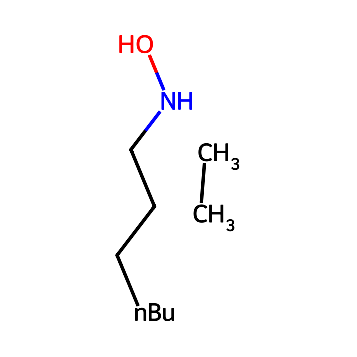 CC.CCCCCCCNO